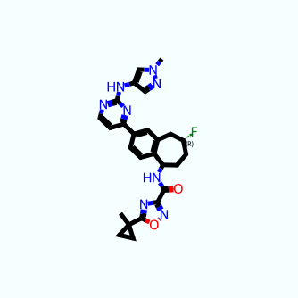 Cn1cc(Nc2nccc(-c3ccc4c(c3)C[C@H](F)CCC4NC(=O)c3noc(C4(C)CC4)n3)n2)cn1